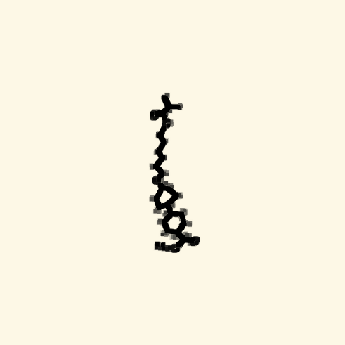 C=C(C)C(=O)OCCCCCCOC1CCC(C2CCC(C(=O)OC)CC2)CC1